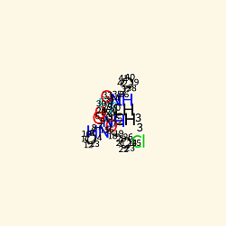 CC(C)[C@H](NC(=O)C(Cc1ccccc1)NC(=O)CCc1cccc(Cl)c1)C(=O)C(F)(F)C(=O)NCCc1ccccc1